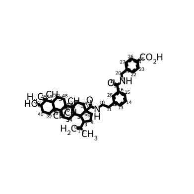 C=C(C)C1CCC2(C(=O)NCCc3cccc(C(=O)NCc4ccc(C(=O)O)cc4)c3)CC[C@]3(C)C(CCC4C5(C)CCC(O)C(C)(C)C5CCC43C)C12